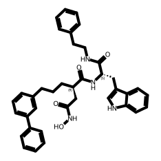 O=C(C[C@@H](CCCc1cccc(-c2ccccc2)c1)C(=O)N[C@@H](Cc1c[nH]c2ccccc12)C(=O)NCCc1ccccc1)NO